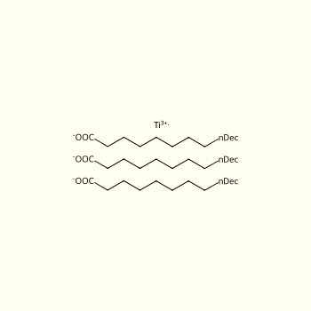 CCCCCCCCCCCCCCCCCC(=O)[O-].CCCCCCCCCCCCCCCCCC(=O)[O-].CCCCCCCCCCCCCCCCCC(=O)[O-].[Ti+3]